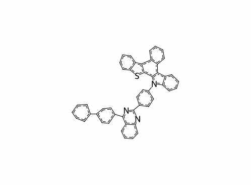 c1ccc(-c2ccc(-c3nc(-c4ccc(-n5c6ccccc6c6c7ccccc7c7c8ccccc8sc7c65)cc4)nc4ccccc34)cc2)cc1